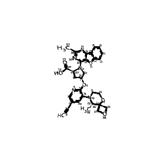 C#Cc1cnc(O[C@H]2C[C@@H](C(=O)O)N(c3nc(C)nc4c3oc3ccccc34)C2)c(N2CCOC3(COC3)[C@@H]2C)c1